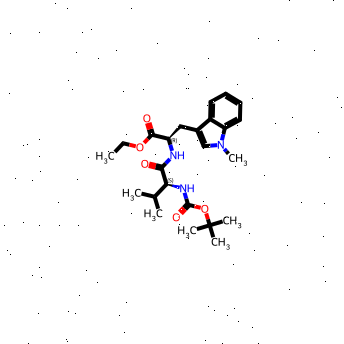 CCOC(=O)[C@@H](Cc1cn(C)c2ccccc12)NC(=O)[C@@H](NC(=O)OC(C)(C)C)C(C)C